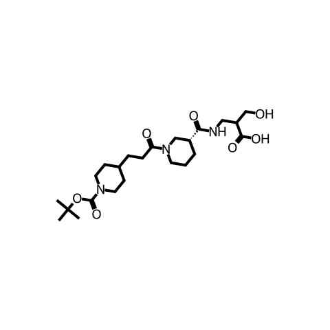 CC(C)(C)OC(=O)N1CCC(CCC(=O)N2CCC[C@@H](C(=O)NCC(CO)C(=O)O)C2)CC1